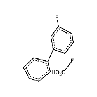 Fc1cccc(-c2ccccc2)c1.O=C(O)F